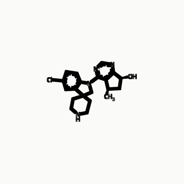 C[C@@H]1C[C@H](O)c2ncnc(N3CC4(CCNCC4)c4cc(Cl)ccc43)c21